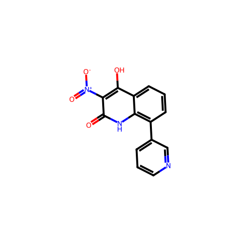 O=c1[nH]c2c(-c3cccnc3)cccc2c(O)c1[N+](=O)[O-]